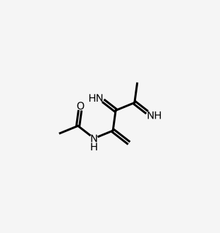 C=C(NC(C)=O)C(=N)C(C)=N